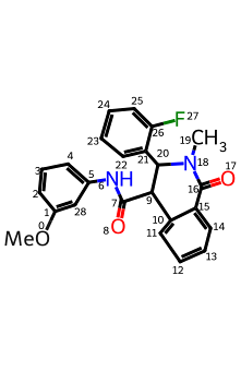 COc1cccc(NC(=O)C2c3ccccc3C(=O)N(C)C2c2ccccc2F)c1